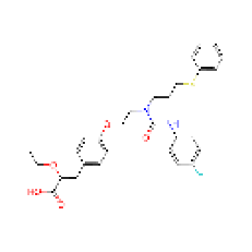 CCOC(Cc1ccc(OCCN(CCCSc2ccccc2)C(=O)Nc2ccc(F)cc2)cc1)C(=O)O